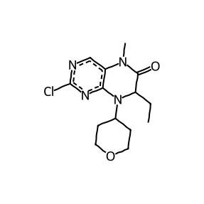 CCC1C(=O)N(C)c2cnc(Cl)nc2N1C1CCOCC1